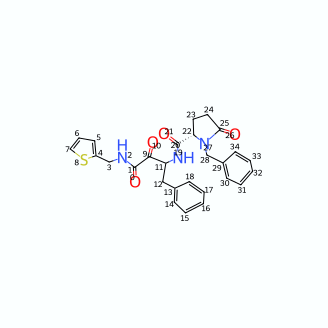 O=C(NCc1cccs1)C(=O)C(Cc1ccccc1)NC(=O)[C@@H]1CCC(=O)N1Cc1ccccc1